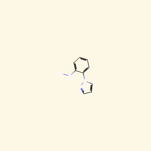 NNc1ccccc1-n1cccn1